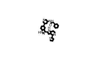 O=C(Cc1ccccc1)Nc1cncc(-c2ccc3[nH]nc(-c4cc5c(-c6cccs6)nccc5[nH]4)c3c2)c1